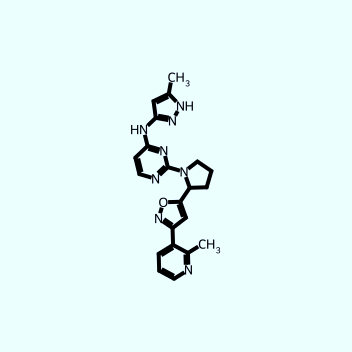 Cc1cc(Nc2ccnc(N3CCCC3c3cc(-c4cccnc4C)no3)n2)n[nH]1